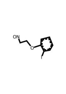 O=NCCOc1ccccc1I